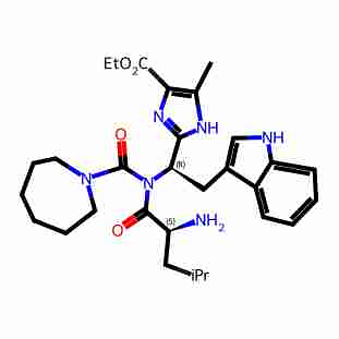 CCOC(=O)c1nc([C@@H](Cc2c[nH]c3ccccc23)N(C(=O)[C@@H](N)CC(C)C)C(=O)N2CCCCCC2)[nH]c1C